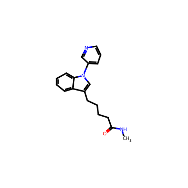 CNC(=O)CCCCc1cn(-c2cccnc2)c2ccccc12